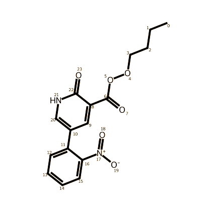 CCCCOOC(=O)c1cc(-c2ccccc2[N+](=O)[O-])c[nH]c1=O